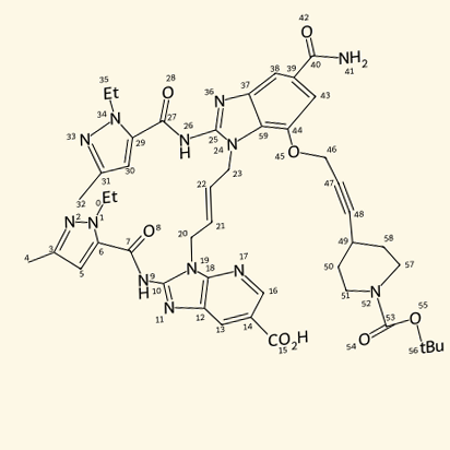 CCn1nc(C)cc1C(=O)Nc1nc2cc(C(=O)O)cnc2n1CC=CCn1c(NC(=O)c2cc(C)nn2CC)nc2cc(C(N)=O)cc(OCC#CC3CCN(C(=O)OC(C)(C)C)CC3)c21